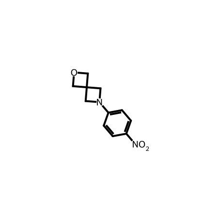 O=[N+]([O-])c1ccc(N2CC3(COC3)C2)cc1